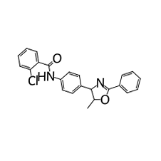 CC1OC(c2ccccc2)=NC1c1ccc(NC(=O)c2ccccc2Cl)cc1